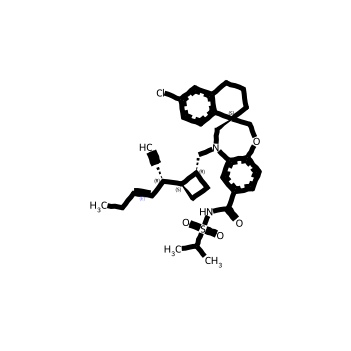 C#C[C@@H](/C=C/CC)[C@@H]1CC[C@H]1CN1C[C@@]2(CCCc3cc(Cl)ccc32)COc2ccc(C(=O)NS(=O)(=O)C(C)C)cc21